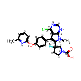 Cc1cccc(Oc2ccc(-c3c(C4(F)CCN(C(=O)O)C4)n(C)c4ncnc(Cl)c34)cc2)n1